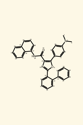 CN(C)c1ccc(-c2oc(-c3ccccc3-c3ccccc3)nc2C(=O)Nc2cccc3ccccc23)cc1